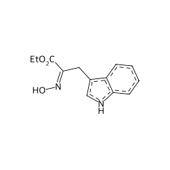 CCOC(=O)C(Cc1c[nH]c2ccccc12)=NO